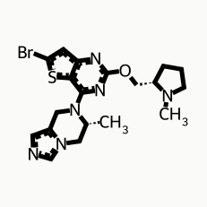 C[C@@H]1Cn2cncc2CN1c1nc(OC[C@@H]2CCCN2C)nc2cc(Br)sc12